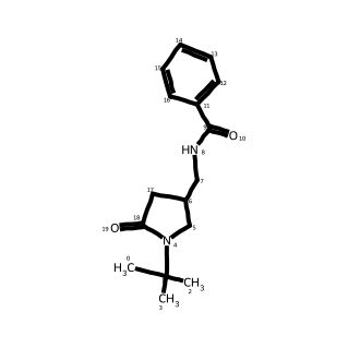 CC(C)(C)N1CC(CNC(=O)c2ccccc2)CC1=O